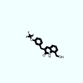 O=c1[nH]c2c(CO)cccc2cc1Cc1cccc(OC(F)(F)F)c1